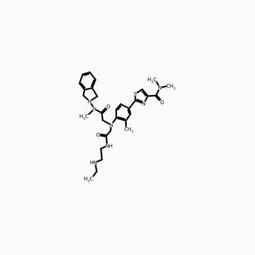 CCNCCNC(=O)CN(CC(=O)N(C)N1Cc2ccccc2C1)c1ccc(-c2nc(C(=O)N(C)C)cs2)cc1C